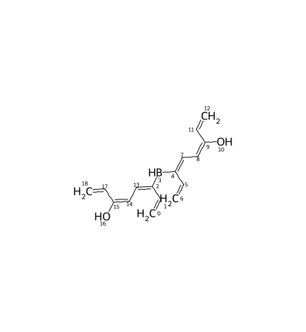 C=C/C(B/C(C=C)=C/C=C(/O)C=C)=C\C=C(\O)C=C